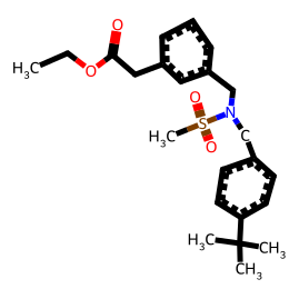 CCOC(=O)Cc1cccc(CN(Cc2ccc(C(C)(C)C)cc2)S(C)(=O)=O)c1